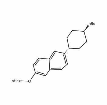 CCCCCCOc1ccc2cc([C@H]3CC[C@H](CCCC)CC3)ccc2c1